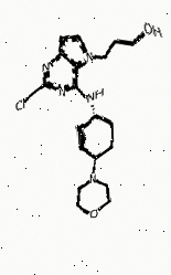 OCCCn1ccc2nc(Cl)nc(N[C@H]3CC[C@H](N4CCOCC4)CC3)c21